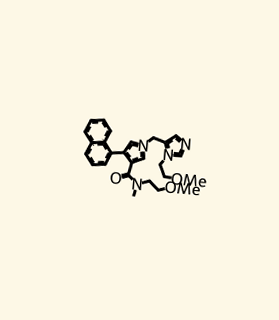 COCCN(C)C(=O)c1cn(Cc2cncn2CCOC)cc1-c1cccc2ccccc12